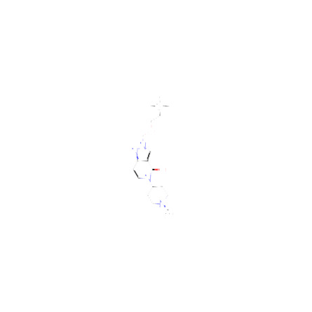 CC(=O)N1CCC(n2ccc3nn(COCC[Si](C)(C)C)cc3c2=O)CC1